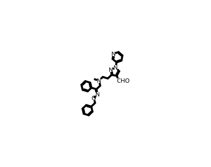 CN(CCc1nn(-c2cccnc2)cc1C=O)C/C(=N/OCc1ccccc1)c1ccccc1